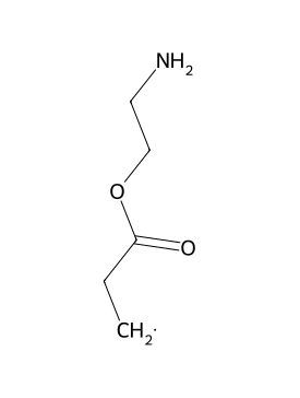 [CH2]CC(=O)OCCN